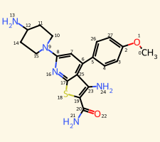 COc1ccc(-c2cc(N3CCC(N)CC3)nc3sc(C(N)=O)c(N)c23)cc1